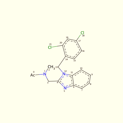 CC(=O)N(C)Cc1nc2ccccc2n1Cc1ccc(Cl)cc1Cl